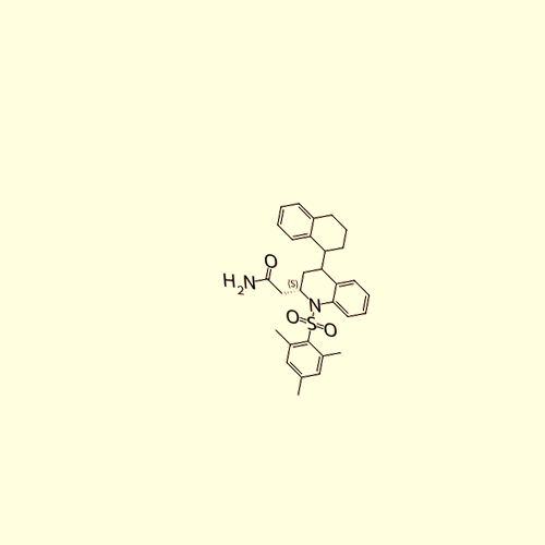 Cc1cc(C)c(S(=O)(=O)N2c3ccccc3C(C3CCCc4ccccc43)C[C@H]2CC(N)=O)c(C)c1